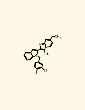 C=Cc1ccn2c(C)c(-c3cc4ccccc4n3Cc3ccc(F)c(CC)c3)nc2c1